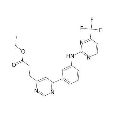 CCOC(=O)CCc1cc(-c2cccc(Nc3nccc(C(F)(F)F)n3)c2)ncn1